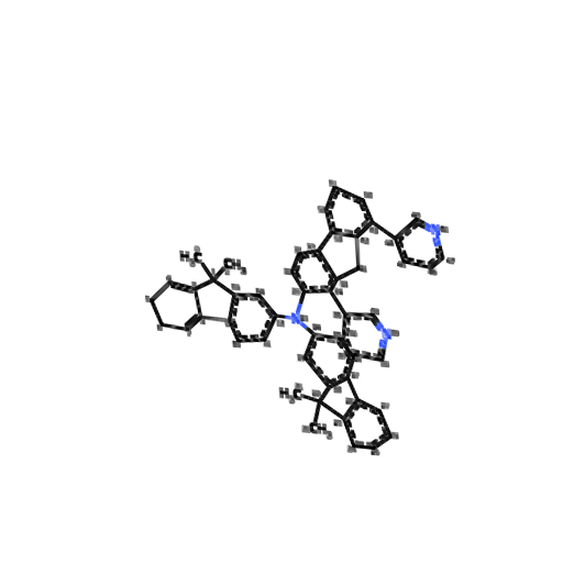 CC1(C)C2=CCCC=C2c2ccc(N(c3ccc4c(c3)C(C)(C)c3ccccc3-4)c3ccc4c(c3-c3cccnc3)Cc3c(-c5cccnc5)cccc3-4)cc21